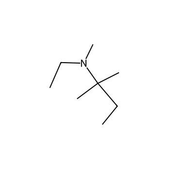 CCN(C)C(C)(C)CC